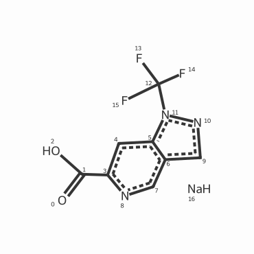 O=C(O)c1cc2c(cn1)cnn2C(F)(F)F.[NaH]